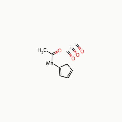 C[C](=O)[Mn][C]1=CC=CC1.[C]=O.[C]=O.[C]=O